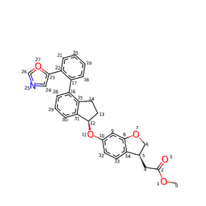 COC(=O)C[C@@H]1COc2cc(O[C@@H]3CCc4c(-c5ccccc5-c5cnco5)cccc43)ccc21